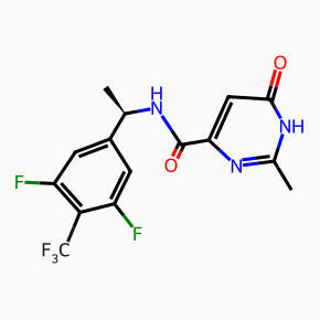 Cc1nc(C(=O)N[C@H](C)c2cc(F)c(C(F)(F)F)c(F)c2)cc(=O)[nH]1